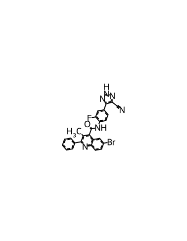 Cc1c(-c2ccccc2)nc2ccc(Br)cc2c1C(=O)Nc1ccc(-c2n[nH]nc2C#N)cc1F